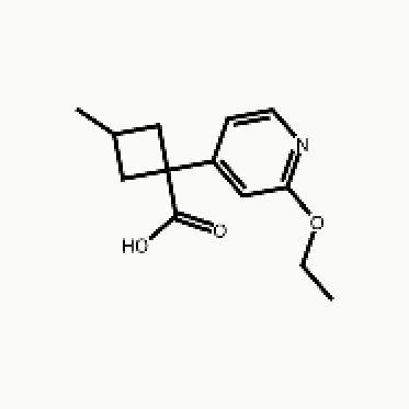 CCOc1cc(C2(C(=O)O)CC(C)C2)ccn1